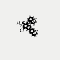 Cc1cc(Cl)c2ccccc2c1Cl.c1ccc2ncccc2c1.c1ccc2ncccc2c1